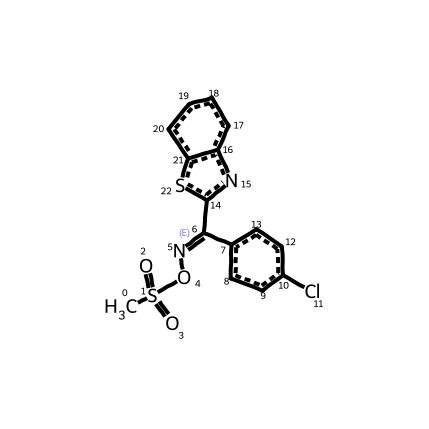 CS(=O)(=O)O/N=C(\c1ccc(Cl)cc1)c1nc2ccccc2s1